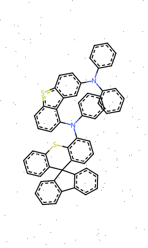 c1ccc(N(c2ccccc2)c2ccc3sc4cccc(N(c5ccccc5)c5cccc6c5Sc5ccccc5C65c6ccccc6-c6ccccc65)c4c3c2)cc1